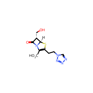 O=C(O)C1=C(CCn2cnnn2)S[C@@H]2[C@@H](CO)C(=O)N12